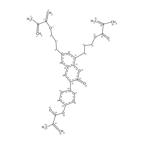 C=C(C)C(=C)OCCCc1cc(CCCOC(=O)C(=C)C)c2oc(=O)c(-c3ccc(OC(=O)C(=C)C)cc3)cc2c1